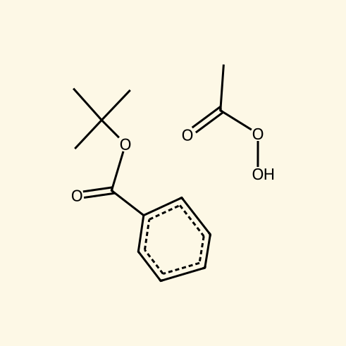 CC(=O)OO.CC(C)(C)OC(=O)c1ccccc1